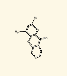 CCc1cc(C)c2sc3ccccc3c(=O)c2c1